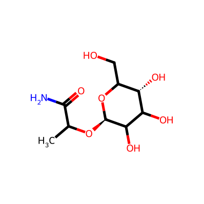 CC(O[C@H]1OC(CO)[C@H](O)C(O)C1O)C(N)=O